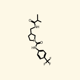 CC(C)C(=O)NCC1CCN(C(=O)Nc2ccc(C(F)(F)F)cc2)C1